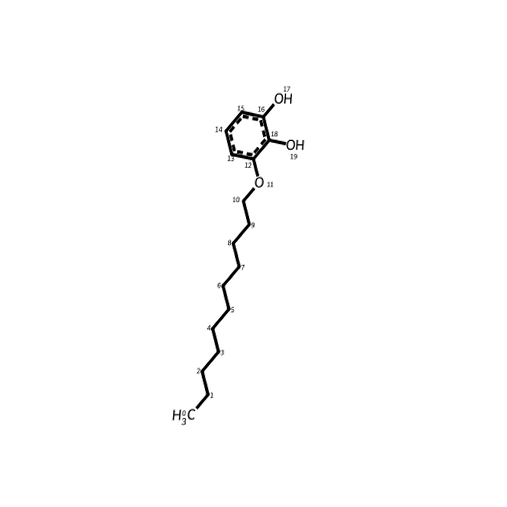 CCCCCCCCCCCOc1cccc(O)c1O